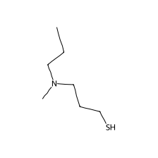 CCCN(C)CCCS